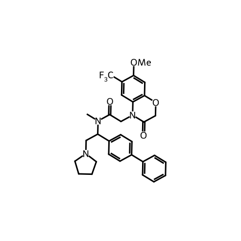 COc1cc2c(cc1C(F)(F)F)N(CC(=O)N(C)C(CN1CCCC1)c1ccc(-c3ccccc3)cc1)C(=O)CO2